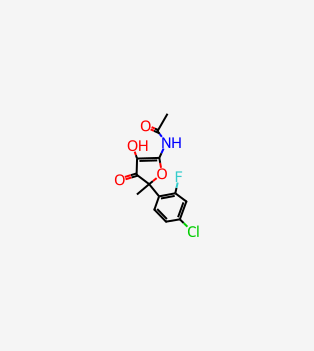 CC(=O)NC1=C(O)C(=O)C(C)(c2ccc(Cl)cc2F)O1